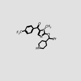 CC(C)C(Oc1ncc(C(=O)c2ccc(C(F)(F)F)cc2)n1C)C1CCNCC1